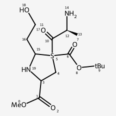 COC(=O)C1CS(C(=O)OC(C)(C)C)(C(=O)[C@H](C)N)C(CCO)N1